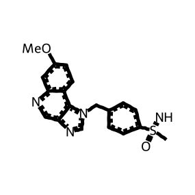 COc1ccc2c(c1)ncc1ncn(Cc3ccc(S(C)(=N)=O)cc3)c12